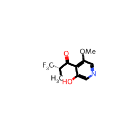 COc1cncc(O)c1C(=O)[C@H](C)C(F)(F)F